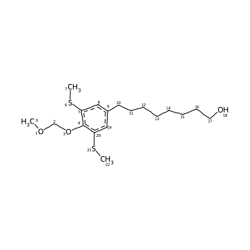 COCOc1c(SC)cc(CCCCCCCCO)cc1SC